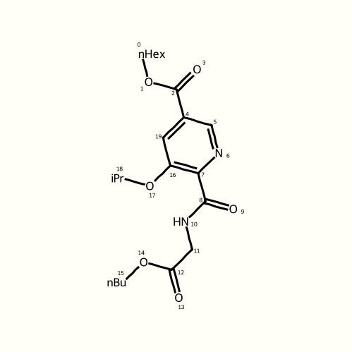 CCCCCCOC(=O)c1cnc(C(=O)NCC(=O)OCCCC)c(OC(C)C)c1